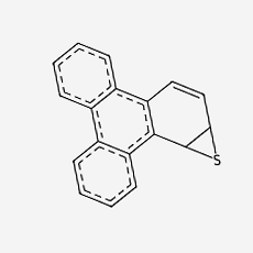 C1=CC2SC2c2c1c1ccccc1c1ccccc21